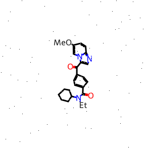 CCN(C(=O)c1ccc(C(=O)c2cnc3ccc(OC)cn23)cc1)C1CCCCC1